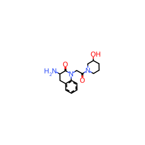 NC1Cc2ccccc2N(CC(=O)N2CCCC(O)C2)C1=O